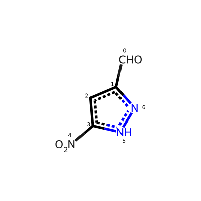 O=Cc1cc([N+](=O)[O-])[nH]n1